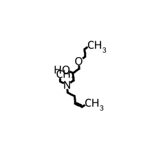 C/C=C\CCN(CC)CC(O)COCCC